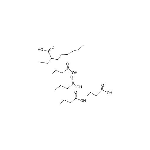 CCCC(=O)O.CCCC(=O)O.CCCC(=O)O.CCCC(=O)O.CCCCCCC(CC)C(=O)O